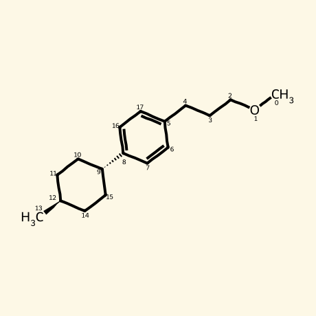 COCCCc1ccc([C@H]2CC[C@H](C)CC2)cc1